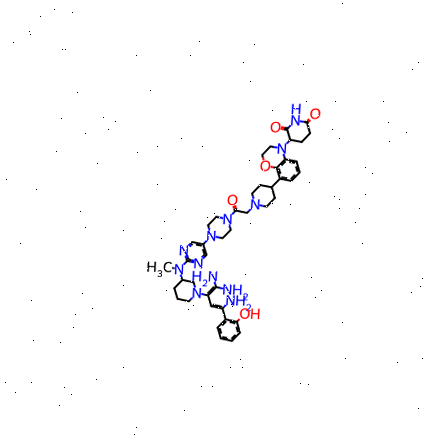 CN(c1ncc(N2CCN(C(=O)CN3CCC(c4cccc5c4OCCN5C4CCC(=O)NC4=O)CC3)CC2)cn1)C1CCCN(C(/C=C(\N)c2ccccc2O)=C(N)N)C1